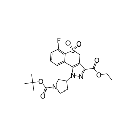 CCOC(=O)c1nn(C2CCN(C(=O)OC(C)(C)C)C2)c2c1CS(=O)(=O)c1c(F)cccc1-2